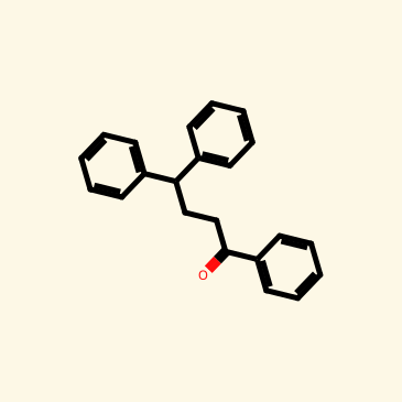 O=C(CCC(c1ccccc1)c1ccccc1)c1ccccc1